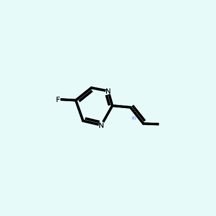 C/C=C/c1ncc(F)cn1